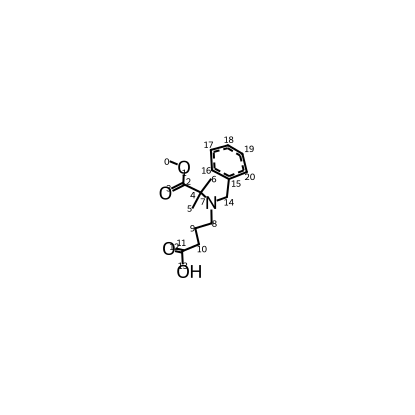 COC(=O)C(C)(C)N(CCCC(=O)O)Cc1ccccc1